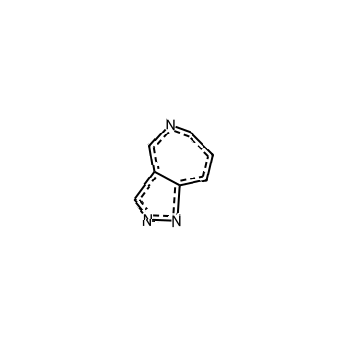 c1cncc2cnnc-2c1